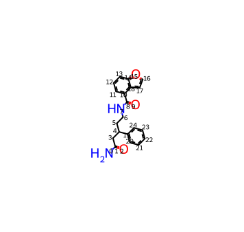 NC(=O)CC(CCNC(=O)c1cccc2occc12)c1ccccc1